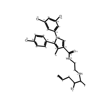 C=CCC(CC)C(C)NCCNC(=O)c1cn(-c2cc(Cl)cc(Cl)c2)c(-c2ccc(Cl)cc2)c1C